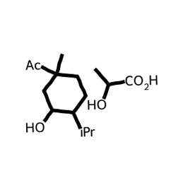 CC(=O)C1(C)CCC(C(C)C)C(O)C1.CC(O)C(=O)O